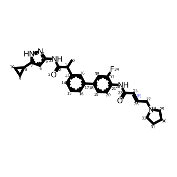 CC(C(=O)Nc1cc(C2CC2)[nH]n1)c1cccc(-c2ccc(NC(=O)/C=C/CN3CCCC3)c(F)c2)c1